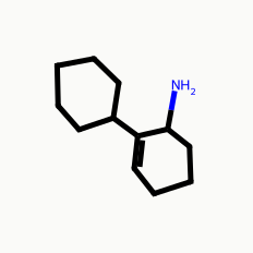 NC1CCCC=C1C1CCCCC1